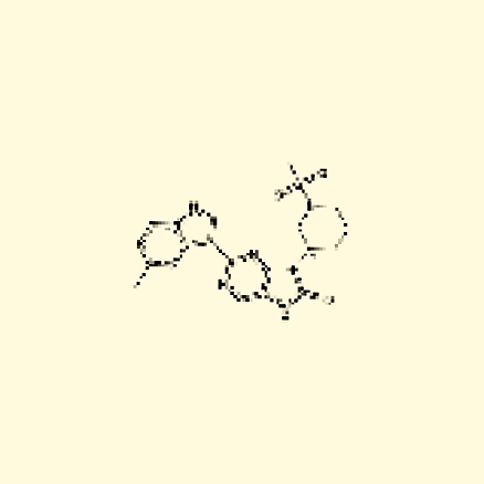 Cc1ccn2ncc(-c3ncc4[nH]c(=O)n([C@H]5CCCN(S(C)(=O)=O)C5)c4n3)c2c1